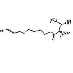 CCCCCCCCC=CCCCCCCCC(=O)C(NC)C(O)O